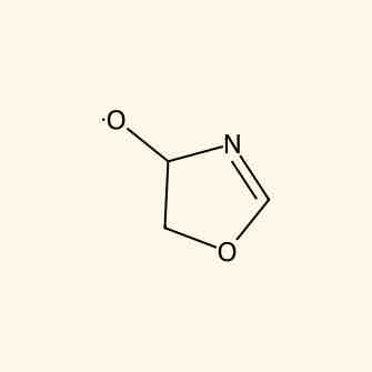 [O]C1COC=N1